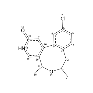 CC1Cc2ccc(Cl)cc2-c2cc(=O)[nH]cc2C(C)O1